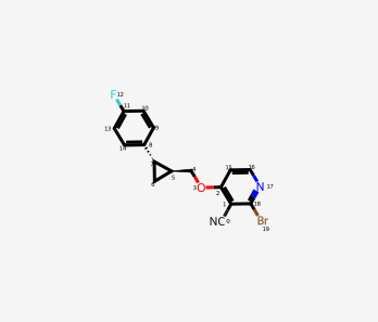 N#Cc1c(OC[C@H]2C[C@@H]2c2ccc(F)cc2)ccnc1Br